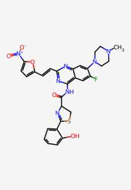 CN1CCN(c2cc3nc(/C=C/c4ccc([N+](=O)[O-])o4)nc(NC(=O)C4CSC(c5ccccc5O)=N4)c3cc2F)CC1